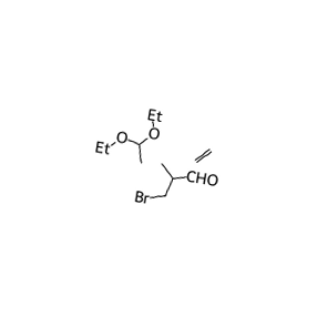 C=C.CC(C=O)CBr.CCOC(C)OCC